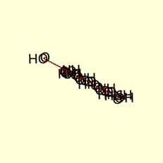 O=C(O)CCCCCCCCCCCCCCCCCCC(=O)N[C@@H](CCC(=O)NCCOCCOCC(=O)NCCOCCOCC(=O)NCCOCCOCC(=O)NCCOCCOCC(=O)NCCCC[C@H](NS)C(=O)O)C(=O)O